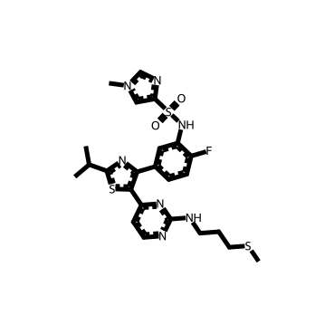 CSCCCNc1nccc(-c2sc(C(C)C)nc2-c2ccc(F)c(NS(=O)(=O)c3cn(C)cn3)c2)n1